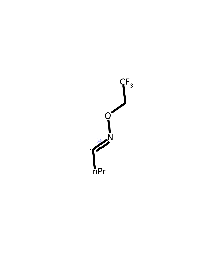 CCC/[C]=N/OCC(F)(F)F